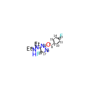 CCNN(CC)c1nc(OCc2ccc(F)cc2)ncc1F